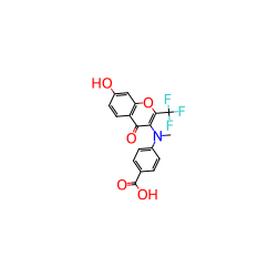 CN(c1ccc(C(=O)O)cc1)c1c(C(F)(F)F)oc2cc(O)ccc2c1=O